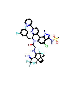 Cn1nc(NS(C)(=O)=O)c2c(Cl)ccc(-c3ccc(-c4ccccn4)nc3[C@H](Cc3cc(F)cc(F)c3)NC(=O)CNC3=C(C(=N)C(F)(F)F)[C@H]4C#C[C@H]4C3(F)F)c21